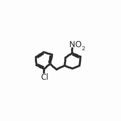 O=[N+]([O-])C1=CCCC(Cc2ccccc2Cl)C1